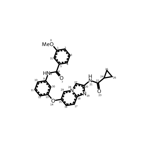 COc1cccc(C(=O)Nc2cccc(Oc3ccc4nc(NC(=O)C5CC5)cn4c3)c2)c1